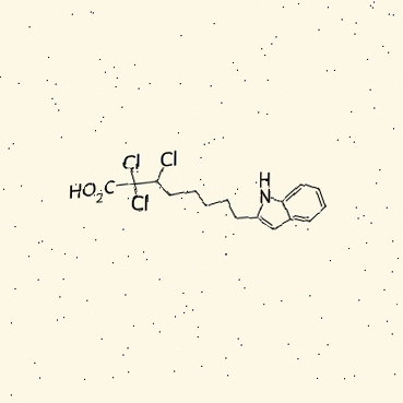 O=C(O)C(Cl)(Cl)C(Cl)CCCCCc1cc2ccccc2[nH]1